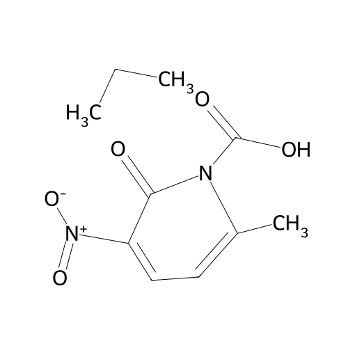 CCC.Cc1ccc([N+](=O)[O-])c(=O)n1C(=O)O